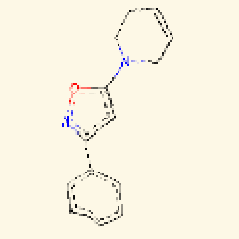 C1=CCN(c2cc(-c3ccccc3)no2)CC1